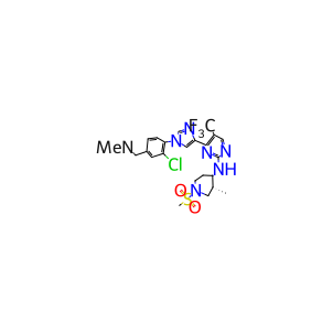 CNCc1ccc(-n2cnc(-c3nc(N[C@H]4CCN(S(C)(=O)=O)C[C@H]4C)ncc3C(F)(F)F)c2)c(Cl)c1